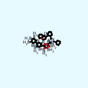 Bc1c(B)c(B)c2c(c1B)c1c(B)c(B)c3c4c(B)c(B)c(B)c(B)c4n(-c4ccc5oc6cccc(-c7nc(-c8ccccc8)nc(-c8ccccc8)n7)c6c5c4)c3c1n2-c1ccccc1